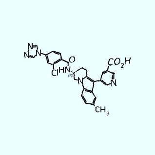 Cc1ccc2c(c1)c(-c1cncc(C(=O)O)c1)c1n2C[C@H](NC(=O)c2ccc(-n3cnnc3)cc2Cl)CC1